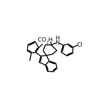 Cc1cccc(C)c1C1=Cc2ccccc2C12CCC(Nc1cccc(Cl)c1)(C(=O)O)CC2